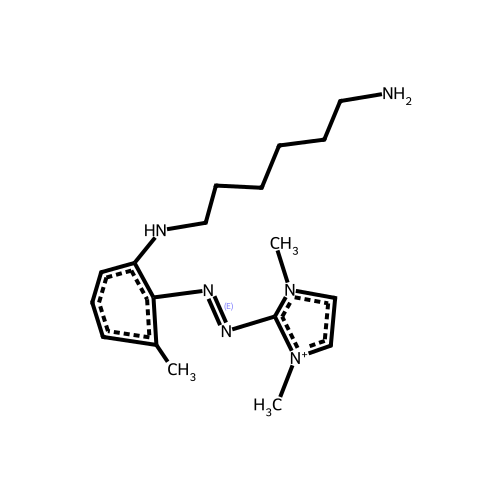 Cc1cccc(NCCCCCCN)c1/N=N/c1n(C)cc[n+]1C